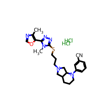 Cc1ncoc1-c1nnc(SCCCN2CC3CCCN(c4cccc(C#N)c4)C3C2)n1C.Cl.Cl